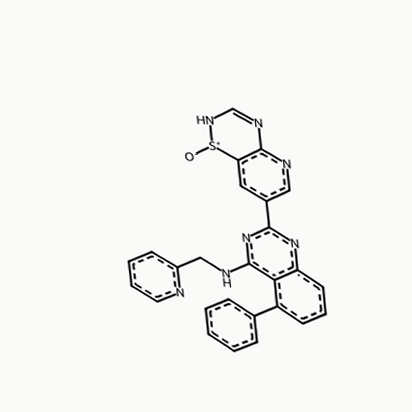 [O-][S+]1NC=Nc2ncc(-c3nc(NCc4ccccn4)c4c(-c5ccccc5)cccc4n3)cc21